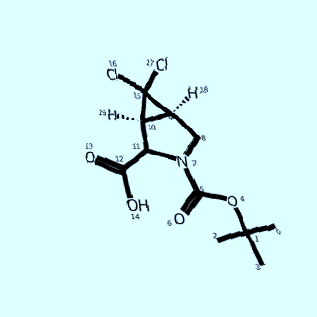 CC(C)(C)OC(=O)N1C[C@H]2[C@@H](C1C(=O)O)C2(Cl)Cl